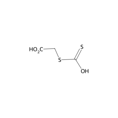 O=C(O)CSC(O)=S